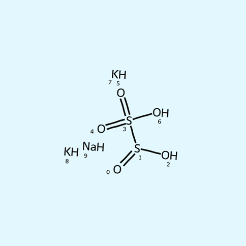 O=S(O)S(=O)(=O)O.[KH].[KH].[NaH]